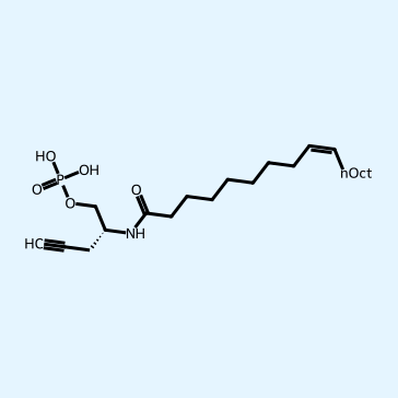 C#CC[C@H](COP(=O)(O)O)NC(=O)CCCCCCC/C=C\CCCCCCCC